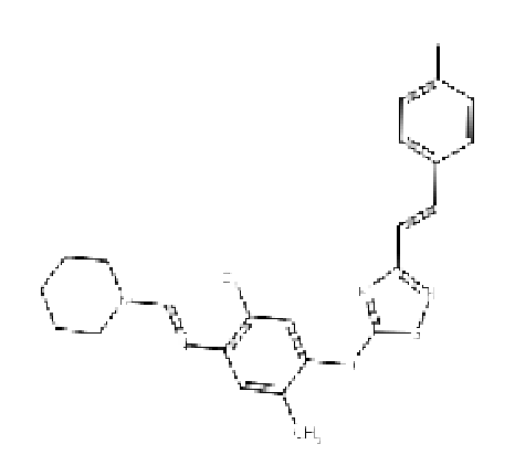 Cc1cc(N=CN2CCCCC2)c(Cl)cc1Oc1nc(C=Cc2ccc(F)cc2)ns1